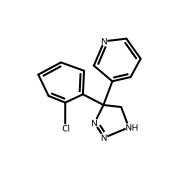 Clc1ccccc1C1(c2cccnc2)CNN=N1